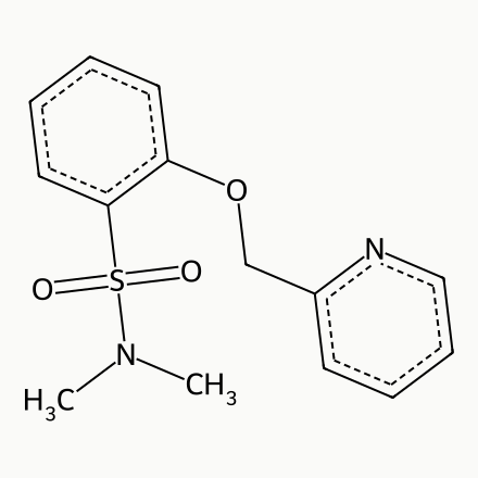 CN(C)S(=O)(=O)c1ccccc1OCc1ccccn1